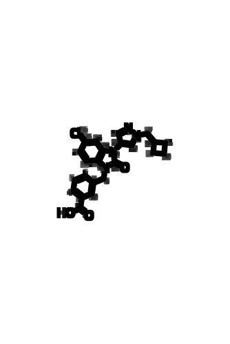 O=C(O)c1cccc(Cn2c(=O)n(-c3cnn(CC4CCC4)c3)c3cc(Cl)ccc32)c1